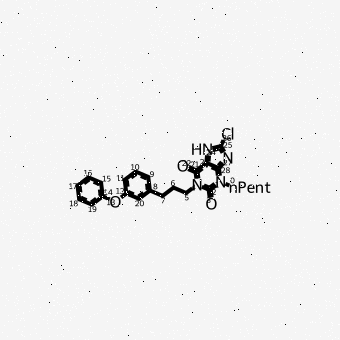 CCCCCn1c(=O)n(CCCc2cccc(Oc3ccccc3)c2)c(=O)c2[nH]c(Cl)nc21